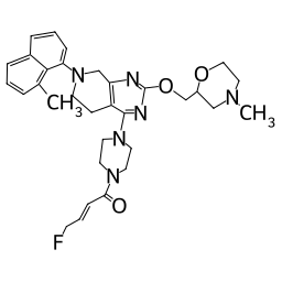 Cc1cccc2cccc(N3CCc4c(nc(OCC5CN(C)CCO5)nc4N4CCN(C(=O)/C=C/CF)CC4)C3)c12